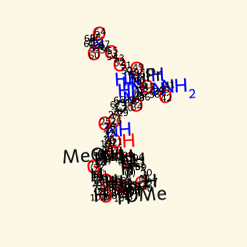 C=C1C[C@@H]2CC3[C@@H]4C[C@H](CC[C@@H]1O2)O[C@H](C[C@@H]1O[C@H](C[C@H](O)CNC(=O)OCc2ccc(NC(=O)[C@H](CCCNC(N)=O)NC(=O)[C@@H](NC(=O)CCOCCOCCN5C(=O)C=CC5=O)C(C)C)cc2)[C@H](OC)[C@H]1CC(=O)C[C@H]1CC[C@@H]2OC5C[C@@H](O[C@]36C[C@@H](OC)[C@@H]5O6)[C@H]2O1)C4=C